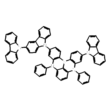 c1ccc(N2c3cc(-n4c5ccccc5c5ccccc54)ccc3B3c4ccc(-n5c6ccccc6c6cc(-n7c8ccccc8c8ccccc87)ccc65)cc4N(c4ccccc4)c4cccc2c43)cc1